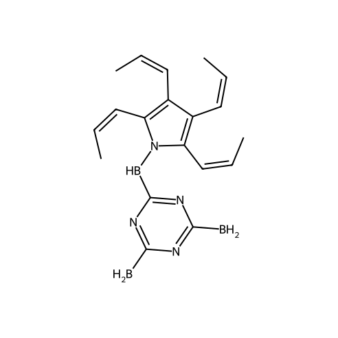 Bc1nc(B)nc(Bn2c(/C=C\C)c(/C=C\C)c(/C=C\C)c2/C=C\C)n1